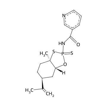 C=C(C)[C@H]1CC[C@@]2(C)SP(=S)(NC(=O)c3cccnc3)O[C@@H]2C1